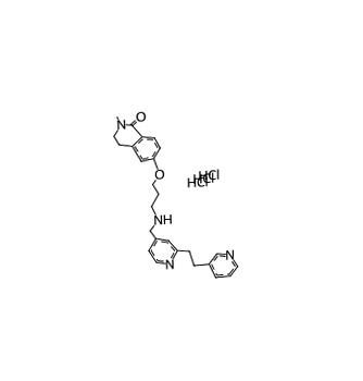 CN1CCc2cc(OCCCNCc3ccnc(CCc4cccnc4)c3)ccc2C1=O.Cl.Cl.Cl